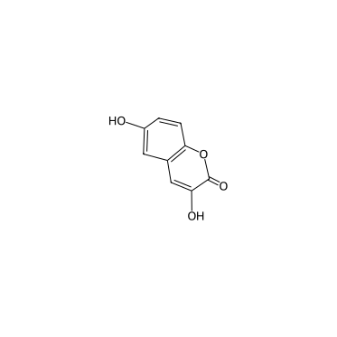 O=c1oc2ccc(O)cc2cc1O